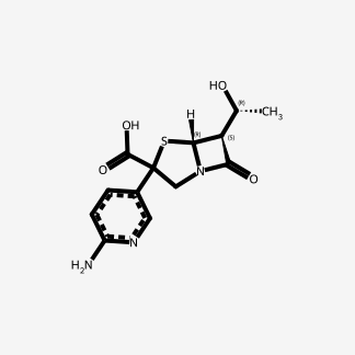 C[C@@H](O)[C@H]1C(=O)N2CC(C(=O)O)(c3ccc(N)nc3)S[C@H]12